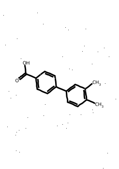 Cc1ccc(-c2ccc(C(=O)O)cc2)cc1C